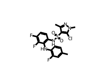 Cc1ccc(Nc2c(NS(=O)(=O)c3c(C)nn(C)c3Cl)ccc(F)c2F)c(F)c1